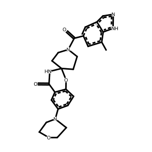 Cc1cc(C(=O)N2CCC3(CC2)NC(=O)c2cc(N4CCOCC4)ccc2O3)cc2cn[nH]c12